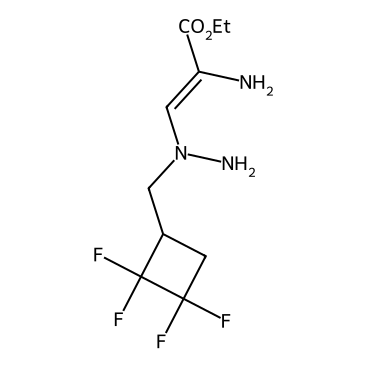 CCOC(=O)/C(N)=C/N(N)CC1CC(F)(F)C1(F)F